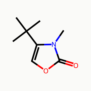 Cn1c(C(C)(C)C)coc1=O